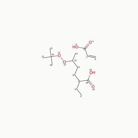 C=CC(=O)O.CCC(CCC(C)OOC(C)(C)C)C(=O)O